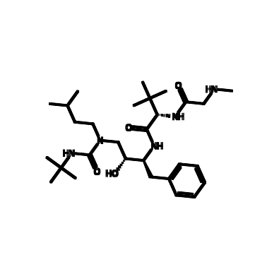 CNCC(=O)N[C@H](C(=O)N[C@@H](Cc1ccccc1)[C@H](O)CN(CCC(C)C)C(=O)NC(C)(C)C)C(C)(C)C